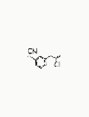 C=C(Cl)Cc1cccc([CH]C#N)c1